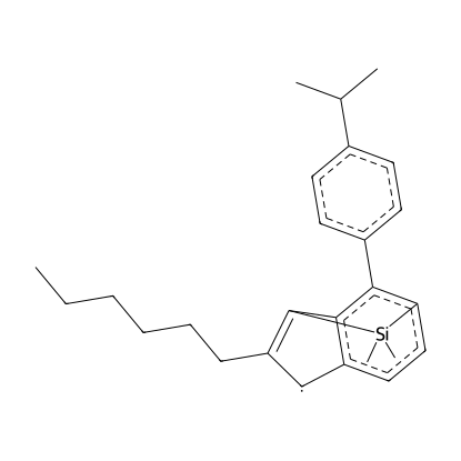 CCCCCCC1=C2c3c(ccc(c3-c3ccc(C(C)C)cc3)[Si]2(C)C)[CH]1